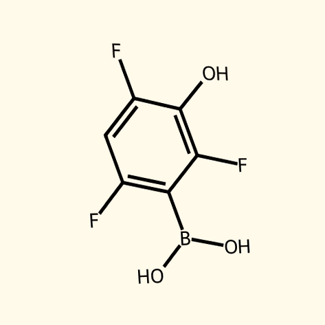 OB(O)c1c(F)cc(F)c(O)c1F